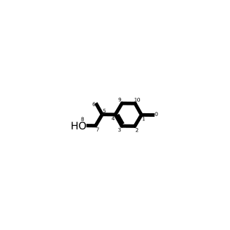 CC1CC=C(C(C)CO)CC1